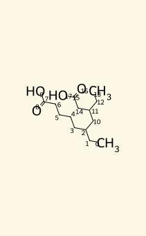 CCC(CCCCC(=O)O)CC(CC)CC(=O)O